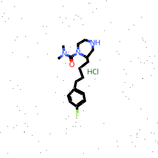 CN(C)C(=O)N1CCNCC1CCCCc1ccc(F)cc1.Cl